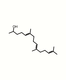 CC(C)=CCCC(C)=CCCC(C)=CCCC(C)O